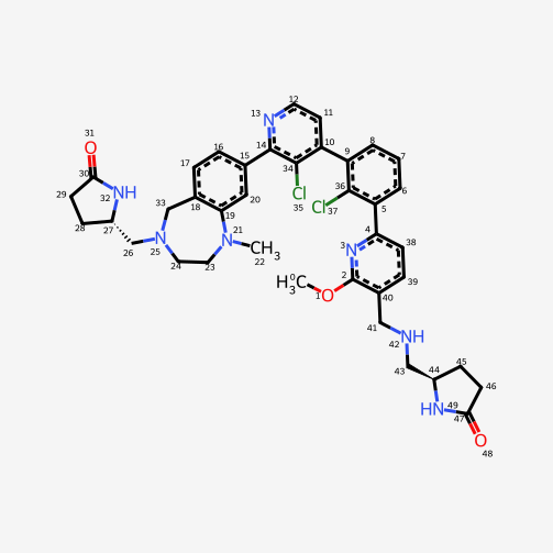 COc1nc(-c2cccc(-c3ccnc(-c4ccc5c(c4)N(C)CCN(C[C@@H]4CCC(=O)N4)C5)c3Cl)c2Cl)ccc1CNC[C@H]1CCC(=O)N1